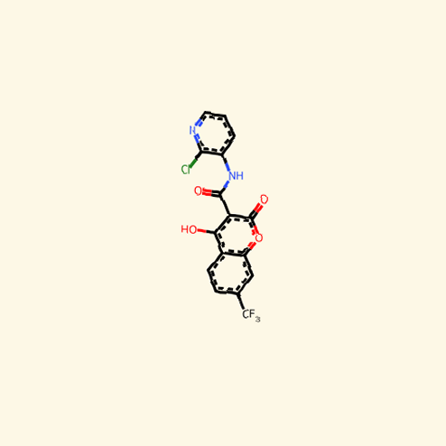 O=C(Nc1cccnc1Cl)c1c(O)c2ccc(C(F)(F)F)cc2oc1=O